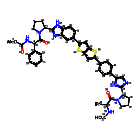 COC(=O)N[C@@H](C(=O)N1CCCC1c1nc2cc(-c3cc4sc(-c5ccc(-c6cnc([C@@H]7CCCN7C(=O)[C@@H](NC(=O)O)C(C)C)[nH]6)cc5)cc4s3)ccc2[nH]1)c1ccccc1